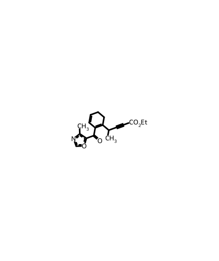 CCOC(=O)C#CC(C)C1=C(C(=O)c2ocnc2C)C=CCC1